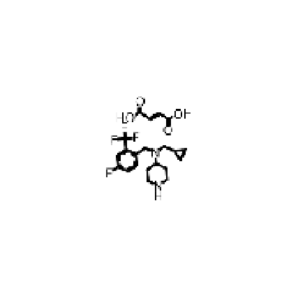 Fc1ccc(CN(CC2CC2)C2CCNCC2)c(C(F)(F)F)c1.O=C(O)C=CC(=O)O